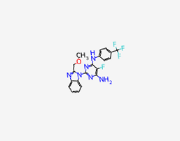 COCc1nc2ccccc2n1-c1nc(N)c(F)c(Nc2ccc(C(F)(F)F)cc2)n1